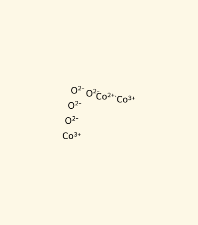 [Co+2].[Co+3].[Co+3].[O-2].[O-2].[O-2].[O-2]